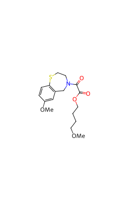 COCCCCOC(=O)C(=O)N1CCSc2ccc(OC)cc2C1